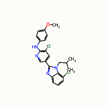 COc1ccc(Nc2ncc(-c3nc4cccc(Cl)c4n3CC(C)C)cc2Cl)cc1